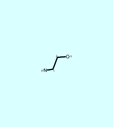 [N]CC[O]